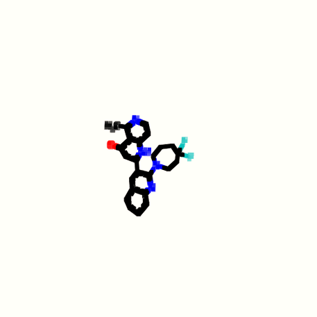 Cc1nccc2[nH]c(-c3cc4ccccc4nc3N3CCCC(F)(F)CC3)cc(=O)c12